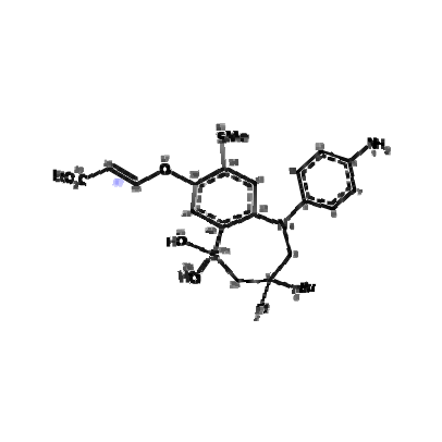 CCCCC1(CC)CN(c2ccc(N)cc2)c2cc(SC)c(O/C=C/C(=O)OCC)cc2S(O)(O)C1